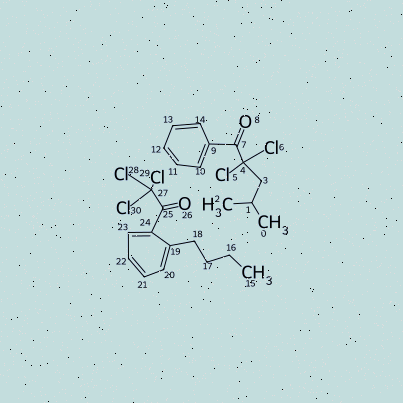 CC(C)CC(Cl)(Cl)C(=O)c1ccccc1.CCCCc1ccccc1C(=O)C(Cl)(Cl)Cl